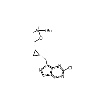 CC(C)(C)[Si](C)(C)OC[C@H]1C[C@H]1Cn1ncc2cnc(Cl)nc21